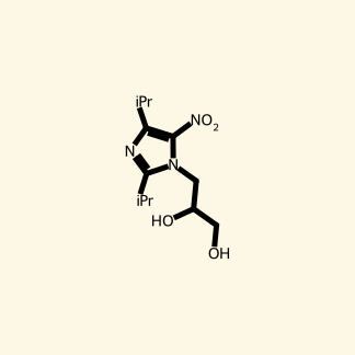 CC(C)c1nc(C(C)C)n(CC(O)CO)c1[N+](=O)[O-]